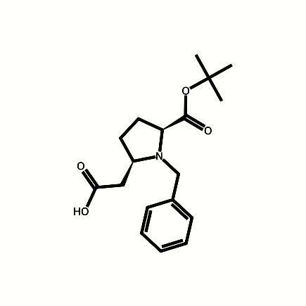 CC(C)(C)OC(=O)[C@@H]1CC[C@H](CC(=O)O)N1Cc1ccccc1